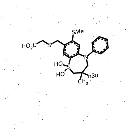 CCCCC1(C)CN(c2ccccc2)c2cc(SC)c(CSCC(=O)O)cc2S(O)(O)C1